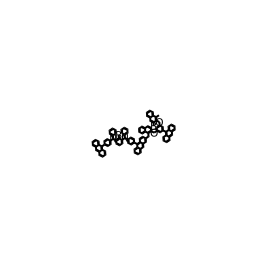 Cc1c2c(cc3ccccc13)B1c3cc4ccccc4c(Cc4ccc5c(-c6ccc(N7c8ccccc8B8c9ccccc9N(c9ccc(-c%10c%11ccccc%11cc%11ccccc%10%11)cc9)c9cccc7c98)cc6)c6ccccc6cc5c4)c3Oc3cc(-c4c5ccccc5cc5ccccc45)cc(c31)O2